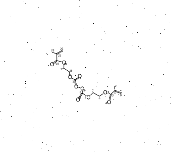 C=C(C)C(=O)OCCOC(=O)OOC(=O)OCCOC(=O)C(=C)C